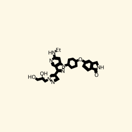 CCNc1cc2c(cn1)c(-c1cnn(C[C@@H](O)CO)c1)nn2C1CCC(Oc2ccc3c(c2)CNC3=O)CC1